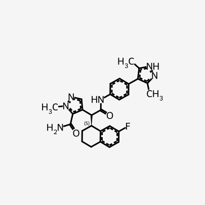 Cc1n[nH]c(C)c1-c1ccc(NC(=O)C(c2cnn(C)c2C(N)=O)[C@@H]2CCCc3ccc(F)cc32)cc1